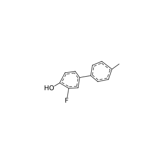 Cc1ccc(-c2ccc(O)c(F)c2)cc1